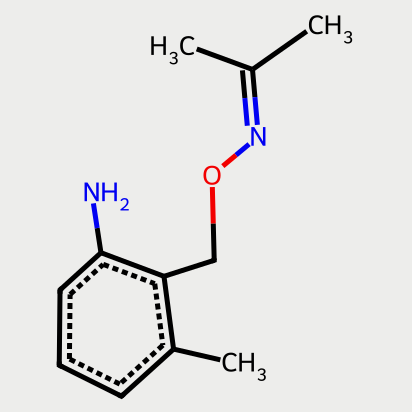 CC(C)=NOCc1c(C)cccc1N